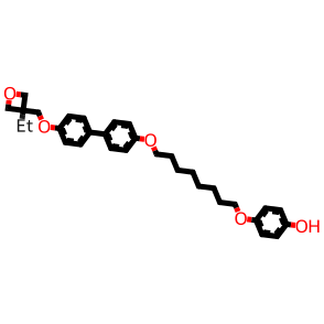 CCC1(COc2ccc(-c3ccc(OCCCCCCCCOc4ccc(O)cc4)cc3)cc2)COC1